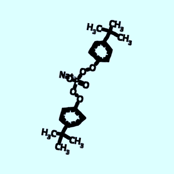 CC(C)(C)c1ccc(OOP(=O)([O-])OOc2ccc(C(C)(C)C)cc2)cc1.[Na+]